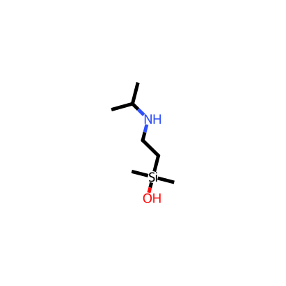 CC(C)NCC[Si](C)(C)O